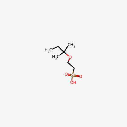 CCC(C)(C)OCCS(=O)(=O)O